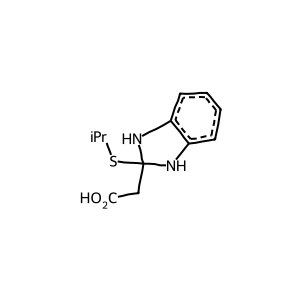 CC(C)SC1(CC(=O)O)Nc2ccccc2N1